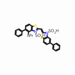 CCCc1c(-c2ccccc2)ccc2sc(C=C3Sc4ccc(-c5ccccc5)cc4N3S(=O)(=O)O)[n+](S(=O)(=O)O)c12